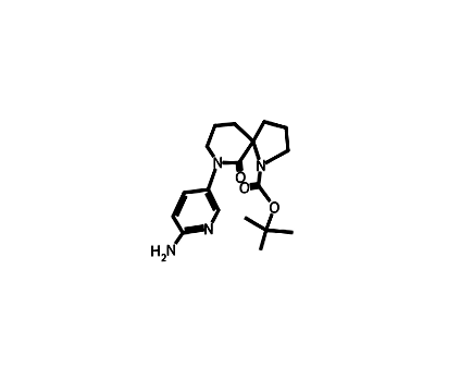 CC(C)(C)OC(=O)N1CCCC12CCCN(c1ccc(N)nc1)C2=O